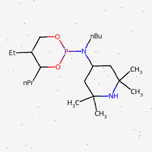 CCCCN(C1CC(C)(C)NC(C)(C)C1)P1OCC(CC)C(CCC)O1